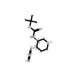 CC(C)(C)OC(=O)N[C@H]1COCC[C@@H]1N=[N+]=[N-]